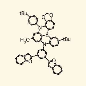 Cc1cc2c3c(c1)N(c1ccc(C(C)(C)C)cc1)c1c(ccc4c1OCO4)B3c1cc(C(C)(C)C)ccc1N2c1cc(-c2cc3ccccc3o2)cc(-c2cc3ccccc3o2)c1